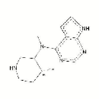 C[C@@H]1CCNCC1N(C)c1ncnc2[nH]ccc12